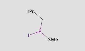 CCCCP(I)SC